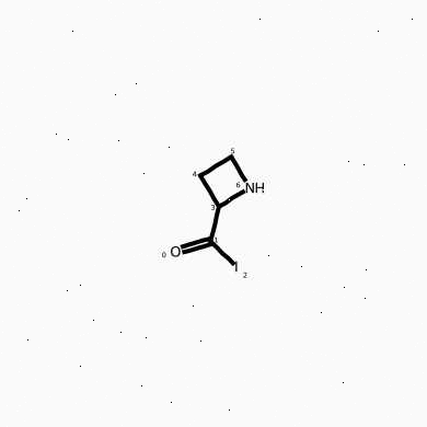 O=C(I)C1CCN1